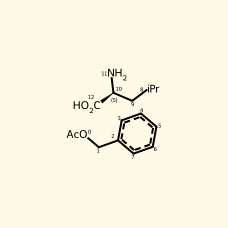 CC(=O)OCc1ccccc1.CC(C)C[C@H](N)C(=O)O